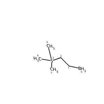 BCCS(C)(C)C